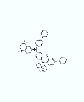 CC1(C)CCC(C)(C)c2cc(N(c3ccc(-c4ccccc4)cc3)c3ccc4c(c3)Sc3cc(-c5ccccc5)ccc3C43C4CC5CC6CC3C64C5)ccc21